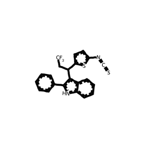 FC(F)(F)CC(c1ccc(N=C=S)s1)c1c(-c2ccccc2)[nH]c2ccccc12